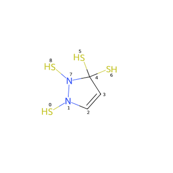 SN1C=CC(S)(S)N1S